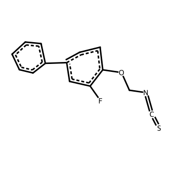 Fc1cc(-c2ccccc2)ccc1OCN=C=S